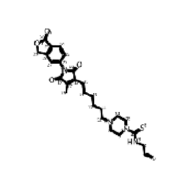 C=CCNC(=S)N1CCN(CCCCCCC2=C(C)C(=O)N(c3ccc4c(c3)COC4=O)C2=O)CC1